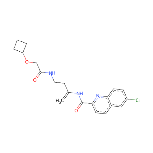 C=C(CCNC(=O)COC1CCC1)NC(=O)c1ccc2cc(Cl)ccc2n1